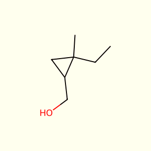 CCC1(C)CC1CO